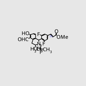 COC(=O)/C=C/c1cc(F)c(C2c3ccc(O)c(C=O)c3CC(C)N2CC(C)(C)F)c(F)c1